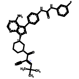 CC(C)(C)/C=C(\C#N)C(=O)N1CCC[C@@H](n2nc(-c3ccc(NC(=O)Nc4cccc(F)c4)cc3)c3c(N)ncnc32)C1